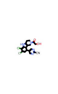 N#Cc1ncc(C2C=C(Cl)C(Cl)=C3NC4=C(CN(C(=O)CO)CC4)C32)cn1